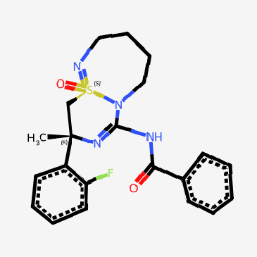 C[C@@]1(c2ccccc2F)C[S@@]2(=O)=NCCCCN2C(NC(=O)c2ccccc2)=N1